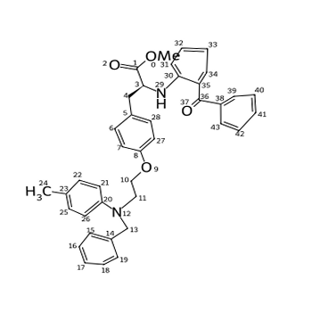 COC(=O)[C@H](Cc1ccc(OCCN(Cc2ccccc2)c2ccc(C)cc2)cc1)Nc1ccccc1C(=O)c1ccccc1